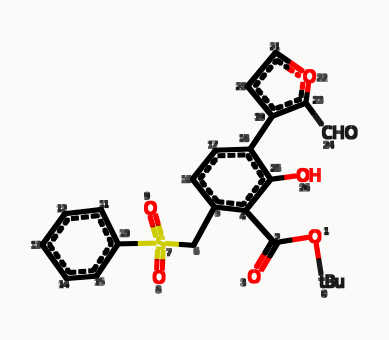 CC(C)(C)OC(=O)c1c(CS(=O)(=O)c2ccccc2)ccc(-c2ccoc2C=O)c1O